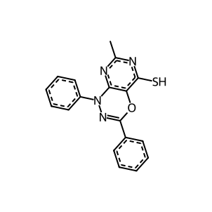 Cc1nc(S)c2c(n1)N(c1ccccc1)N=C(c1ccccc1)O2